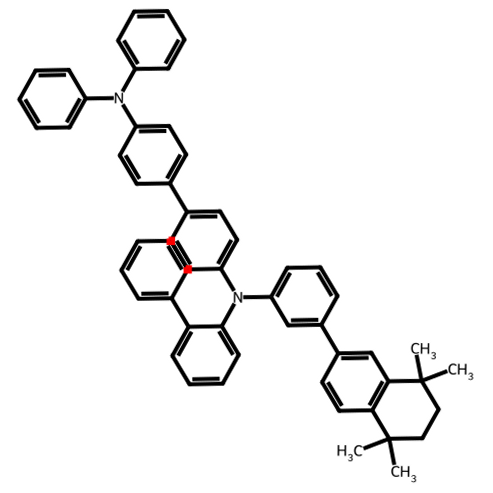 CC1(C)CCC(C)(C)c2cc(-c3cccc(N(c4ccc(-c5ccc(N(c6ccccc6)c6ccccc6)cc5)cc4)c4ccccc4-c4ccccc4)c3)ccc21